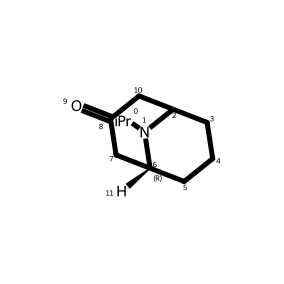 CC(C)N1C2CCC[C@@H]1CC(=O)C2